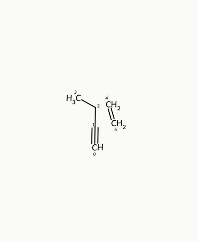 C#CCC.C=C